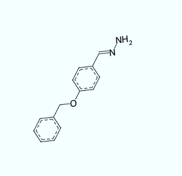 N/N=C/c1ccc(OCc2ccccc2)cc1